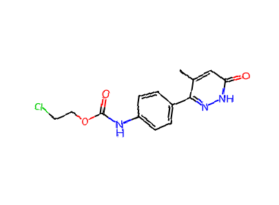 Cc1cc(=O)[nH]nc1-c1ccc(NC(=O)OCCCl)cc1